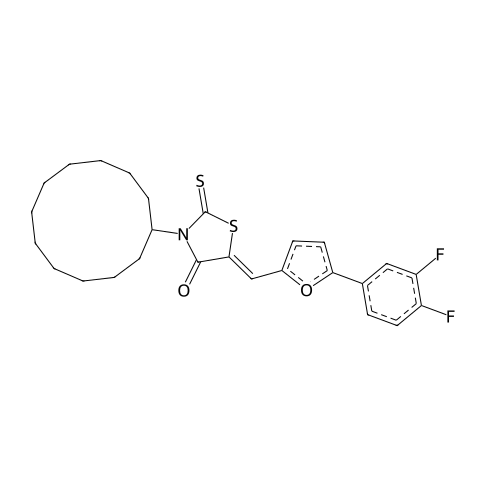 O=C1C(=Cc2ccc(-c3ccc(F)c(F)c3)o2)SC(=S)N1C1CCCCCCCCCCC1